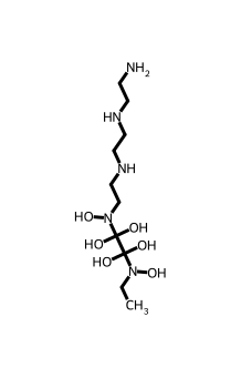 CCN(O)C(O)(O)C(O)(O)N(O)CCNCCNCCN